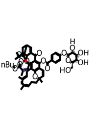 CCCCOC(=O)/C(C)=C\CC12OC(C)(C)C3CC(C=C4C(=O)c5c(OC(=O)c6ccc(O[C@@H]7O[C@H](CO)[C@@H](O)[C@@H](O)[C@H]7O)cc6)c6c(c(CC=C(C)C)c5OC431)OC(C)(CCC=C(C)C)C=C6)C2=O